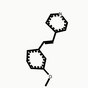 COc1[c]ccc(C=Cc2ccncc2)c1